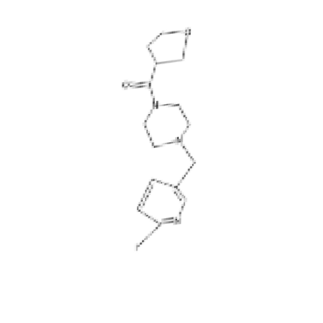 O=C(C1CCOC1)N1CCN(Cc2ccc(I)nc2)CC1